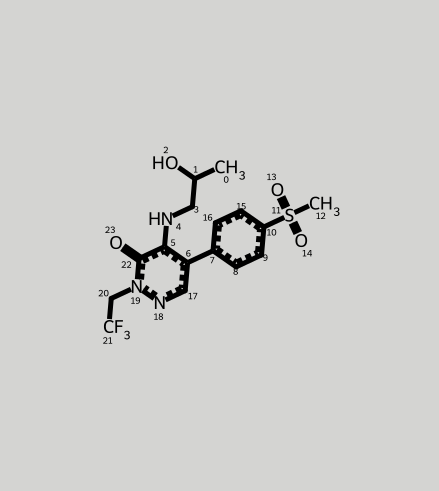 CC(O)CNc1c(-c2ccc(S(C)(=O)=O)cc2)cnn(CC(F)(F)F)c1=O